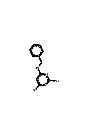 Nc1nc(Br)cc(NCc2ccccc2)n1